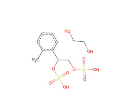 Cc1ccccc1C(COS(=O)(=O)O)OS(=O)(=O)O.OCCO